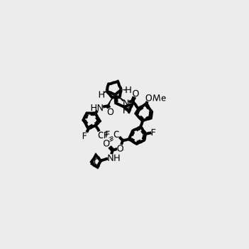 COc1ccc(-c2cc(C(OC(=O)NC34CC(C3)C4)C(F)(F)F)ccc2F)cc1C(=O)N[C@H]1[C@@H](C(=O)Nc2ccc(F)c(C(F)(F)F)c2)[C@H]2CC[C@@H]1/C2=C\C1CC1